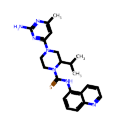 Cc1cc(N2CCN(C(=S)Nc3cccc4ncccc34)C(C(C)C)C2)nc(N)n1